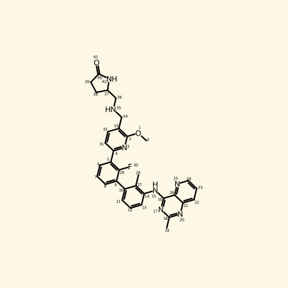 COc1nc(-c2cccc(-c3cccc(Nc4nc(C)nc5cccnc45)c3C)c2F)ccc1CNCC1CCC(=O)N1